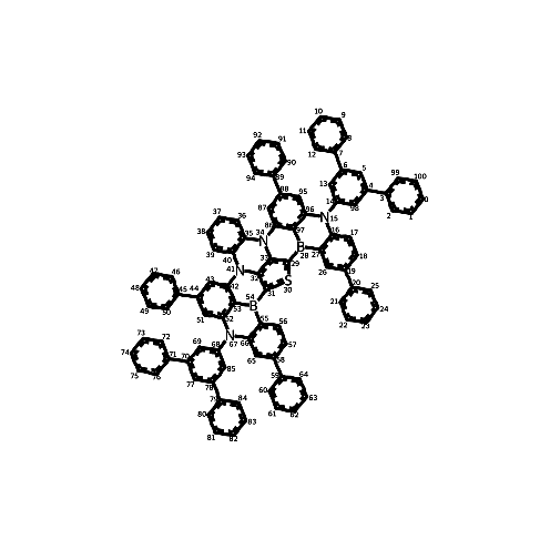 c1ccc(-c2cc(-c3ccccc3)cc(N3c4ccc(-c5ccccc5)cc4B4c5sc6c7c5N(c5ccccc5N7c5cc(-c7ccccc7)cc7c5B6c5ccc(-c6ccccc6)cc5N7c5cc(-c6ccccc6)cc(-c6ccccc6)c5)c5cc(-c6ccccc6)cc3c54)c2)cc1